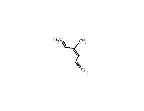 C=CC=C(C)C=C